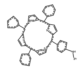 CC(C)Nc1ccc(-c2c3nc(c(-c4ccccc4)c4ccc([nH]4)c(-c4ccccc4)c4nc(c(-c5ccccc5)c5ccc2[nH]5)C=C4)C=C3)cc1